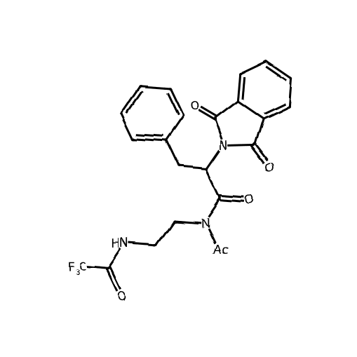 CC(=O)N(CCNC(=O)C(F)(F)F)C(=O)C(Cc1ccccc1)N1C(=O)c2ccccc2C1=O